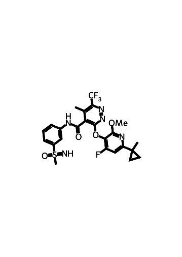 COc1nc(C2(C)CC2)cc(F)c1Oc1nnc(C(F)(F)F)c(C)c1C(=O)Nc1cccc(S(C)(=N)=O)c1